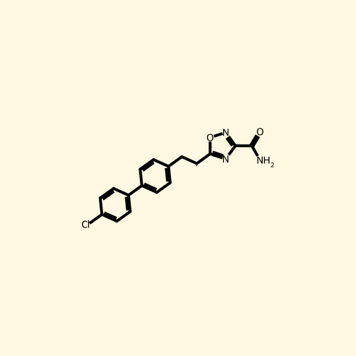 NC(=O)c1noc([CH]Cc2ccc(-c3ccc(Cl)cc3)cc2)n1